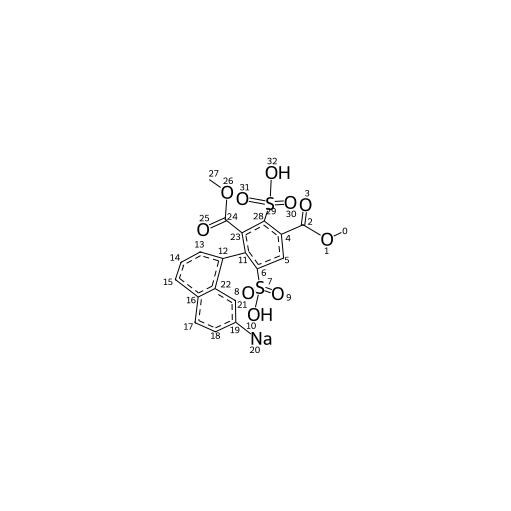 COC(=O)c1cc(S(=O)(=O)O)c(-c2cccc3cc[c]([Na])cc23)c(C(=O)OC)c1S(=O)(=O)O